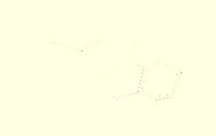 CCCCC/C=C/S(=O)(=O)c1ccccc1N